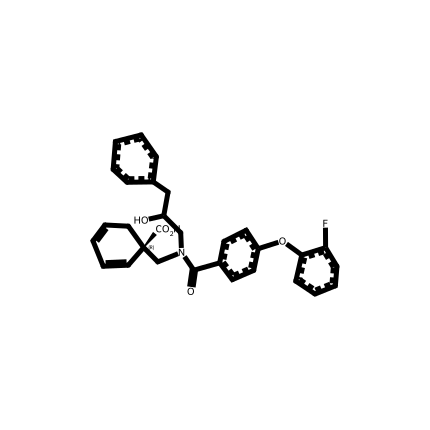 O=C(c1ccc(Oc2ccccc2F)cc1)N(CC(O)Cc1ccccc1)C[C@]1(C(=O)O)C=CC=CC1